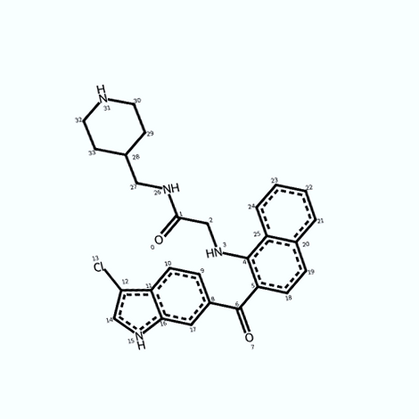 O=C(CNc1c(C(=O)c2ccc3c(Cl)c[nH]c3c2)ccc2ccccc12)NCC1CCNCC1